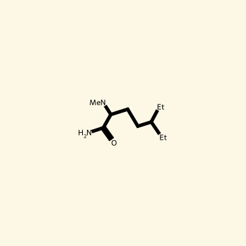 CCC(CC)CCC(NC)C(N)=O